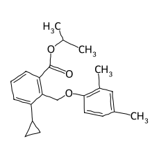 Cc1ccc(OCc2c(C(=O)OC(C)C)cccc2C2CC2)c(C)c1